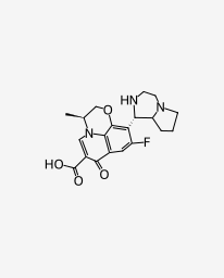 C[C@H]1COc2c([C@@H]3NCCN4CCCC34)c(F)cc3c(=O)c(C(=O)O)cn1c23